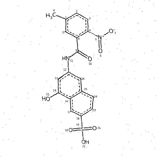 Cc1ccc([N+](=O)[O-])c(C(=O)Nc2cc(O)c3cc(S(=O)(=O)O)ccc3c2)c1